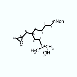 CCCCCCCCCCCCCC(CCN(C)C)CC1CO1.Cl